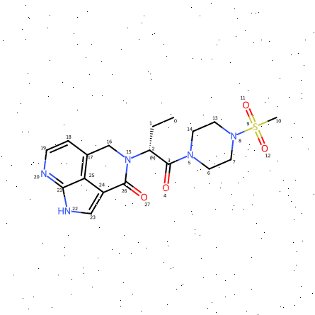 CC[C@H](C(=O)N1CCN(S(C)(=O)=O)CC1)N1Cc2ccnc3[nH]cc(c23)C1=O